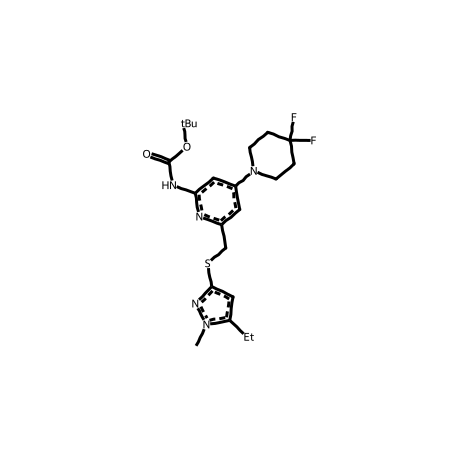 CCc1cc(SCc2cc(N3CCC(F)(F)CC3)cc(NC(=O)OC(C)(C)C)n2)nn1C